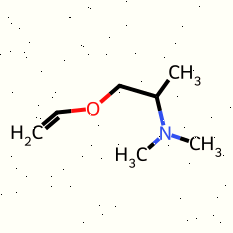 C=COCC(C)N(C)C